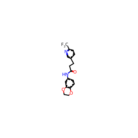 O=C(CCc1ccc(C(F)(F)F)nc1)Nc1ccc2c(c1)OCCO2